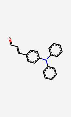 O=C/C=C/c1ccc(N(c2ccccc2)c2ccccc2)cc1